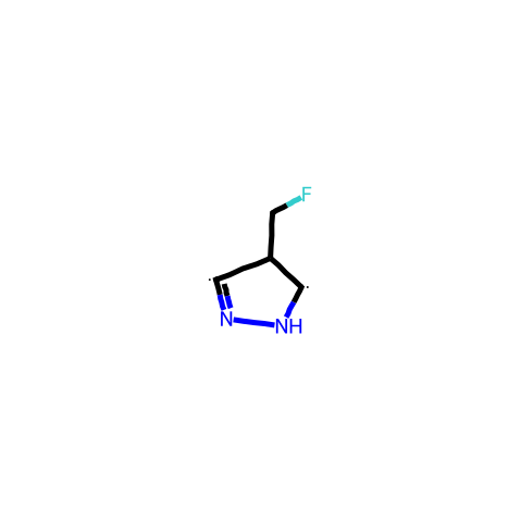 FCC1[C]=NN[CH]1